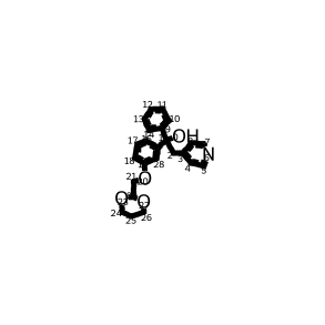 OC(Cc1ccncc1)(c1ccccc1)c1cccc(OCC2OCCCO2)c1